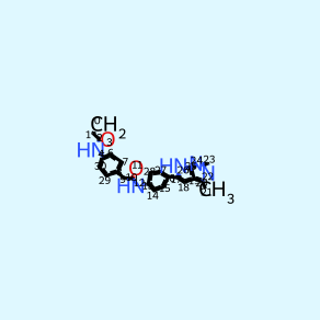 C=CC(=O)Nc1ccc(CC(=O)Nc2ccc(-c3cc4c(C)ncnc4[nH]3)cc2)cc1